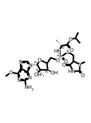 COc1nc(N)nc2c1ncn2[C@@H]1OC(CO[P@](=O)(N[C@H](C)C(=O)OC(C)C)SCC2C(=O)NC(=O)N2C)[C@@H](O)[C@@]1(C)O